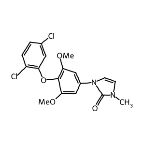 COc1cc(-n2ccn(C)c2=O)cc(OC)c1Oc1cc(Cl)ccc1Cl